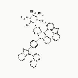 Bc1c(B)c(B)c(-c2ccc3c(-c4ccc(-c5nc6ccccc6n5-c5cccc6ccccc56)cc4)c4ccccc4c(-c4cccc5oc6ccccc6c45)c3c2)c(O)c1B